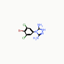 NC1=NNC(N)N1c1cc(Cl)c(Br)c(Cl)c1